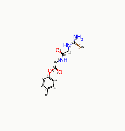 Cc1ccc(OC(=O)CNC(=O)CNC(N)=S)cc1